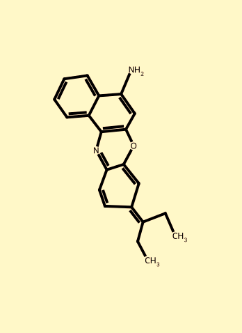 CCC(CC)=c1ccc2c(c1)Oc1cc(N)c3ccccc3c1N=2